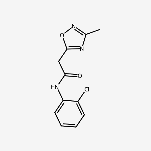 Cc1noc(CC(=O)Nc2ccccc2Cl)n1